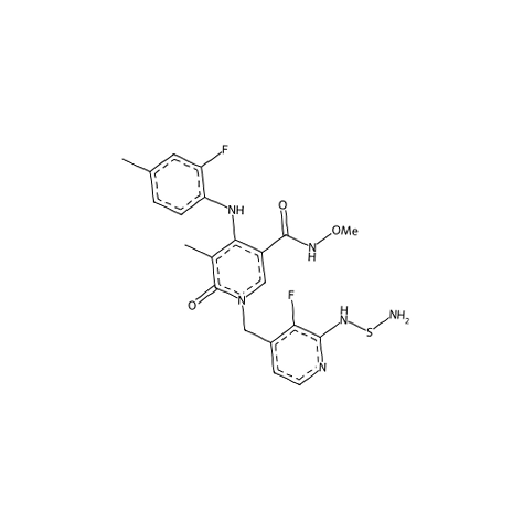 CONC(=O)c1cn(Cc2ccnc(NSN)c2F)c(=O)c(C)c1Nc1ccc(C)cc1F